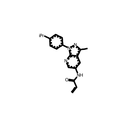 C=CC(=O)Nc1cnc2c(c1)c(C)nn2-c1ccc(C(C)C)cc1